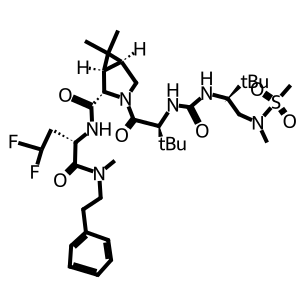 CN(CCc1ccccc1)C(=O)[C@H](CC(F)F)NC(=O)[C@@H]1[C@@H]2[C@H](CN1C(=O)[C@@H](NC(=O)N[C@H](CN(C)S(C)(=O)=O)C(C)(C)C)C(C)(C)C)C2(C)C